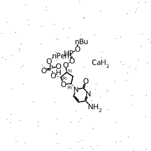 CCCCCOP(=O)(O)O[C@H]1O[C@@H](n2ccc(N)nc2=O)C[C@@H]1OOPOCCCC.[CaH2]